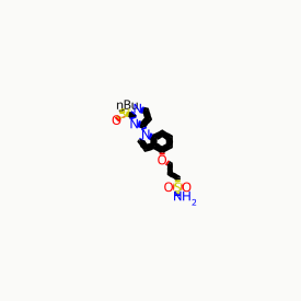 CCCC[S+]([O-])c1nccc(-n2ccc3c(OCCCS(N)(=O)=O)cccc32)n1